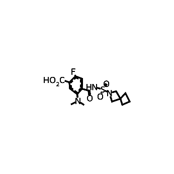 CN(C)c1cc(C(=O)O)c(F)cc1C(=O)NS(=O)(=O)N1CC2(CCC2)C1